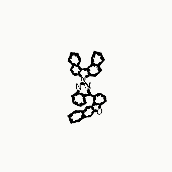 c1ccc2cc3c(cc2c1)oc1cccc(-c2nc(-n4c5ccc6ccccc6c5c5c6ccccc6ccc54)nc4ccccc24)c13